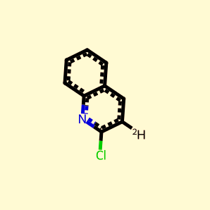 [2H]c1cc2ccccc2nc1Cl